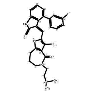 Cc1c(/C=C2\C(=O)Nc3cccc(-c4cccc(F)c4)c32)[nH]c2c1C(=O)N(CCN(C)C)CCC2